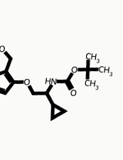 CC(C)(C)OC(=O)NC(COc1ccsc1CO)C1CC1